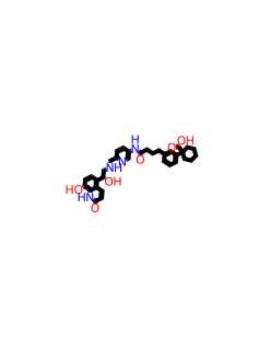 O=C(CCCc1cccc(C2(C(=O)O)CCCCC2)c1)Nc1ccc(CNC[C@H](O)c2ccc(O)c3[nH]c(=O)ccc23)nc1